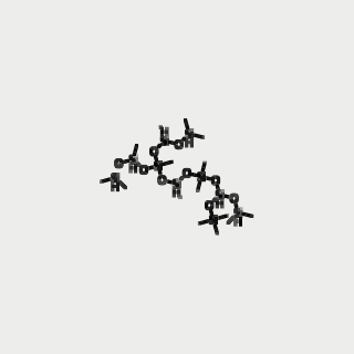 C[SiH](C)O[SiH](C)O[Si](C)(O[SiH](C)O[SiH](C)C)O[SiH](C)O[Si](C)(C)O[SiH](O[SiH](C)C)O[Si](C)(C)C